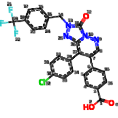 O=C(O)c1ccc(-c2cnn3c(=O)n(Cc4ccc(C(F)(F)F)cc4)nc3c2-c2ccc(Cl)cc2)cc1